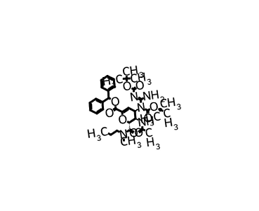 CCCN(C)C(=O)[C@@H]1OC(C(=O)OC(c2ccccc2)c2ccccc2)=C[C@@H](N(C(=O)OC(C)(C)C)C(N)=NC(=O)OC(C)(C)C)[C@H]1NC(C)=O